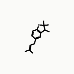 CC(C)=CCc1ccc2c(c1)C(C)C(C)(C)O2